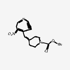 CC(C)(C)OC(=O)N1CCC(=Cc2ccncc2[N+](=O)[O-])CC1